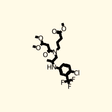 COC(=O)CCCN(CC(C)Nc1ccc(Cl)c(C(F)(F)F)c1)C(=O)CC(OC)OC